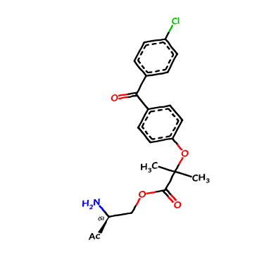 CC(=O)[C@@H](N)COC(=O)C(C)(C)Oc1ccc(C(=O)c2ccc(Cl)cc2)cc1